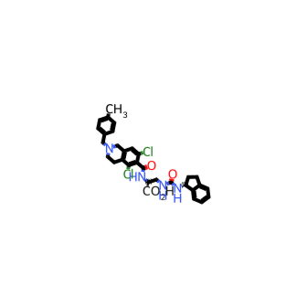 Cc1ccc(CN2CCc3c(cc(Cl)c(C(=O)N[C@@H](CNC(=O)N[C@@H]4CCc5ccccc54)C(=O)O)c3Cl)C2)cc1